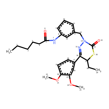 CCCCCC(=O)Nc1cccc(CN2N=C(c3ccc(OC)c(OC)c3)C(CC)SC2=O)c1